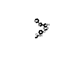 C=CC(=O)Nc1cccc(Oc2cnc3[nH]cc(-c4cnn(-c5cccnc5)c4)c3n2)c1